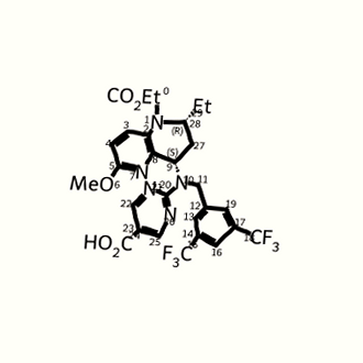 CCOC(=O)N1c2ccc(OC)nc2[C@@H](N(Cc2cc(C(F)(F)F)cc(C(F)(F)F)c2)c2ncc(C(=O)O)cn2)C[C@H]1CC